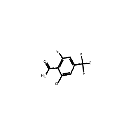 [2H]c1cc(C(F)(F)F)cc(Cl)c1C(=O)O